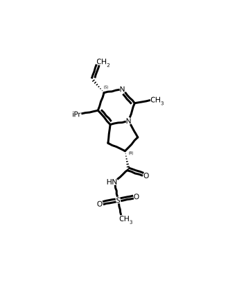 C=C[C@@H]1N=C(C)N2C[C@H](C(=O)NS(C)(=O)=O)CC2=C1C(C)C